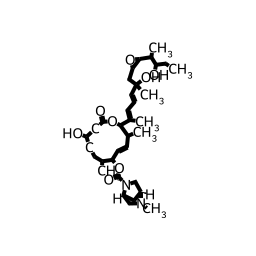 CCC(O)C(C)C1OC1CC(C)(O)/C=C/C=C(\C)C1OC(=O)CC(O)CCC(C)C(OC(=O)N2C[C@@H]3C[C@H]2CN3C)/C=C/C1C